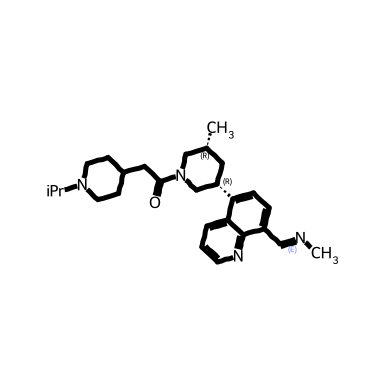 C/N=C/c1ccc([C@H]2C[C@@H](C)CN(C(=O)CC3CCN(C(C)C)CC3)C2)c2cccnc12